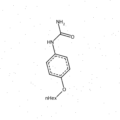 CCCCCCOc1ccc(NC(N)=O)cc1